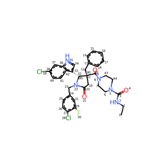 CCNC(=O)N1CCN(C(=O)[C@]2(Cc3ccccc3)CC(=O)N(Cc3ccc(Cl)c(F)c3)[C@@H]2c2c[nH]c3cc(Cl)ccc23)CC1